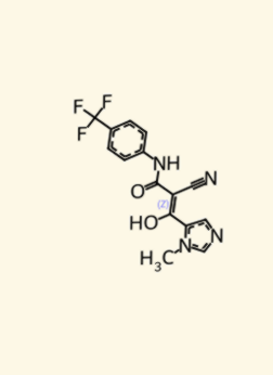 Cn1cncc1/C(O)=C(\C#N)C(=O)Nc1ccc(C(F)(F)F)cc1